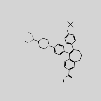 COC(=O)c1ccc2c(c1)CCCC(c1ccc(SC(F)(F)F)cc1)=C2c1ccc(N2CCC(C(OC)OC)CC2)cc1